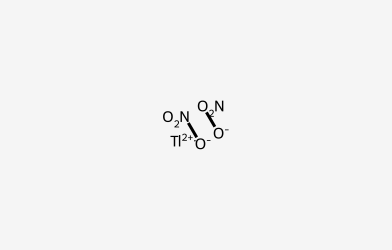 O=[N+]([O-])[O-].O=[N+]([O-])[O-].[Tl+2]